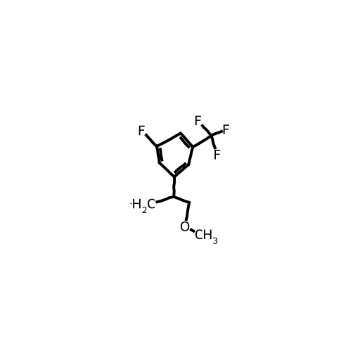 [CH2]C(COC)c1cc(F)cc(C(F)(F)F)c1